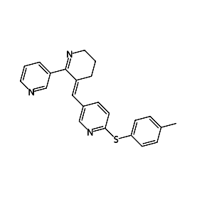 Cc1ccc(Sc2ccc(C=C3CCCN=C3c3cccnc3)cn2)cc1